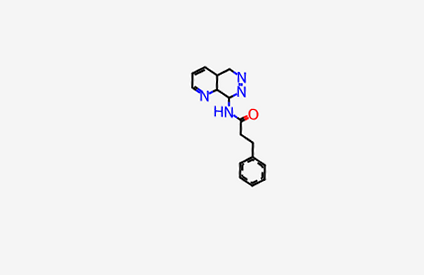 O=C(CCc1ccccc1)NC1N=NCC2C=CC=NC21